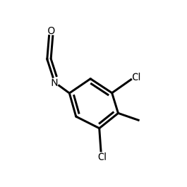 Cc1c(Cl)cc(N=C=O)cc1Cl